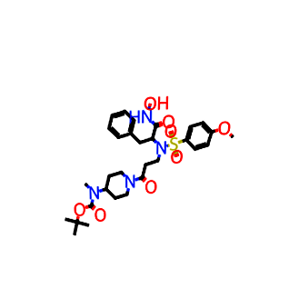 COc1ccc(S(=O)(=O)N(CCC(=O)N2CCC(N(C)C(=O)OC(C)(C)C)CC2)C(Cc2ccccc2)C(=O)NO)cc1